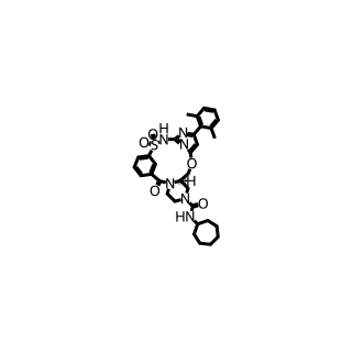 Cc1cccc(C)c1-c1cc2nc(n1)NS(=O)(=O)c1cccc(c1)C(=O)N1CCN(C(=O)NC3CCCCCC3)C[C@@H]1CO2